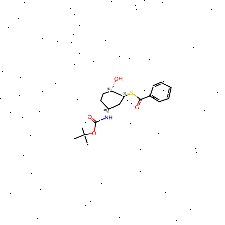 CC(C)(C)OC(=O)N[C@@H]1CC[C@H](O)[C@@H](SC(=O)c2ccccc2)C1